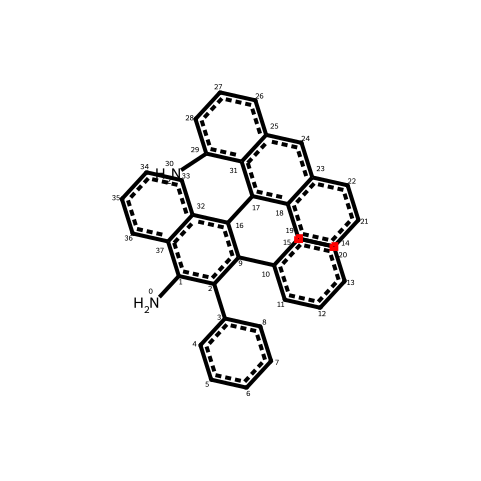 Nc1c(-c2ccccc2)c(-c2ccccc2)c(-c2c3ccccc3cc3cccc(N)c23)c2ccccc12